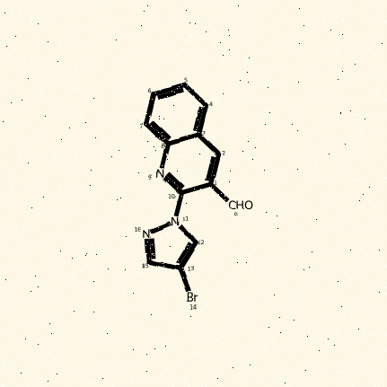 O=Cc1cc2ccccc2nc1-n1cc(Br)cn1